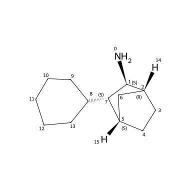 N[C@H]1[C@@H]2CC[C@@H](C2)[C@@H]1C1CCCCC1